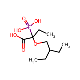 CCC(CC)COC(CC)(C(=O)O)P(=O)(O)O